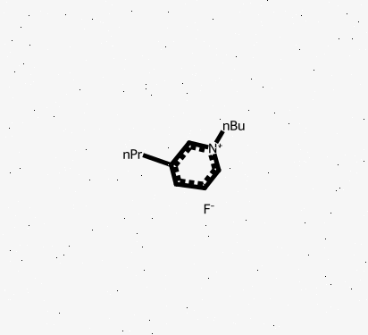 CCCC[n+]1cccc(CCC)c1.[F-]